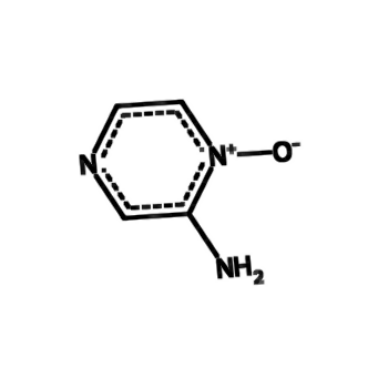 Nc1cncc[n+]1[O-]